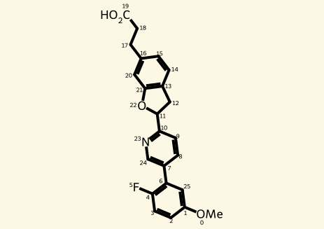 COc1ccc(F)c(-c2ccc(C3Cc4ccc(CCC(=O)O)cc4O3)nc2)c1